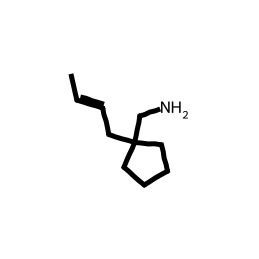 C/C=C/CC1(CN)CCCC1